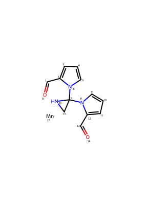 O=Cc1cccn1C1(n2cccc2C=O)CN1.[Mn]